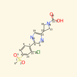 CS(=O)(=O)c1ccc(-c2cnc(C3CN(C(=O)O)C3)cn2)c(Cl)c1